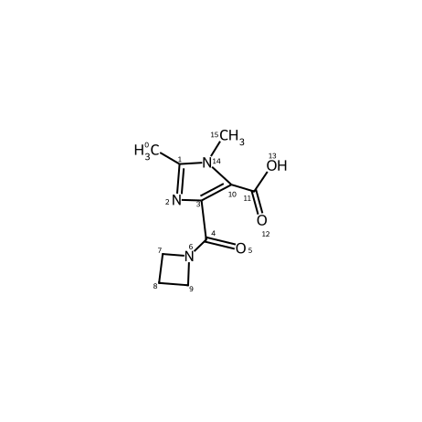 Cc1nc(C(=O)N2CCC2)c(C(=O)O)n1C